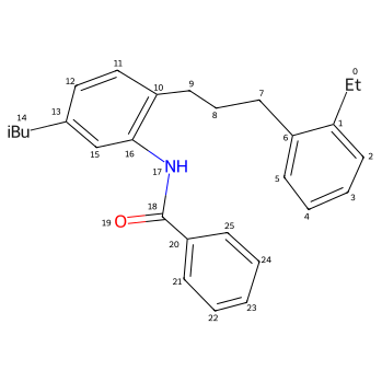 CCc1ccccc1CCCc1ccc(C(C)CC)cc1NC(=O)c1ccccc1